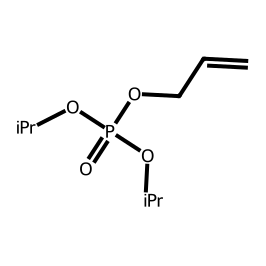 C=CCOP(=O)(OC(C)C)OC(C)C